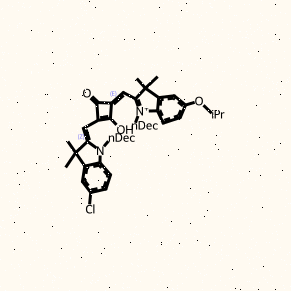 CCCCCCCCCCN1/C(=C\C2=C(O)C(=C\C3=[N+](CCCCCCCCCC)c4ccc(OC(C)C)cc4C3(C)C)/C2=O)C(C)(C)c2cc(Cl)ccc21